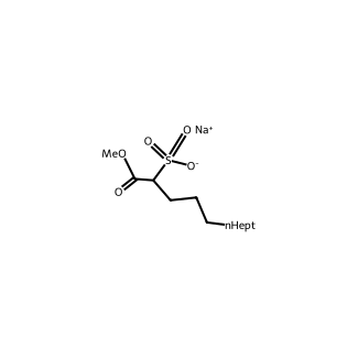 CCCCCCCCCCC(C(=O)OC)S(=O)(=O)[O-].[Na+]